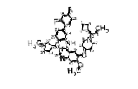 C=CC(=C1CCC1)N1CCC(Oc2cc3c(Nc4cc(-c5ccc(F)cc5F)ccc4OC4CCN(C)C4)ncnc3cc2OC)CC1